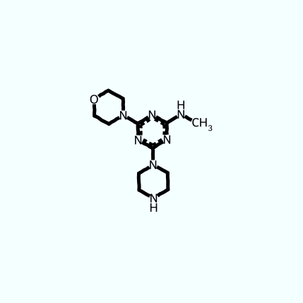 CNc1nc(N2CCNCC2)nc(N2CCOCC2)n1